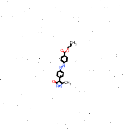 C=CCOC(=O)c1ccc(N=Nc2ccc(C3=C(C)N=NC3=O)cc2)cc1